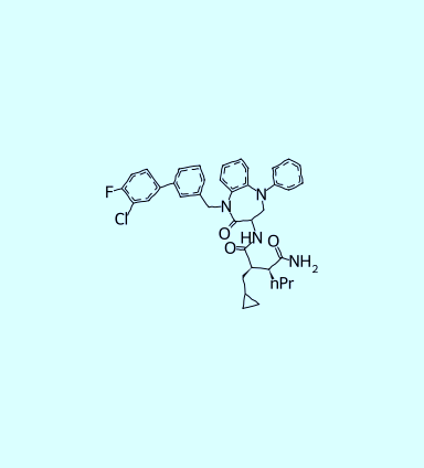 CCC[C@H](C(N)=O)[C@@H](CC1CC1)C(=O)NC1CN(c2ccccc2)c2ccccc2N(Cc2cccc(-c3ccc(F)c(Cl)c3)c2)C1=O